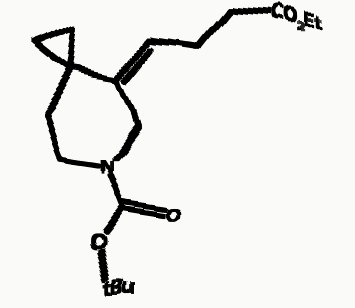 CCOC(=O)CC/C=C1\CN(C(=O)OC(C)(C)C)CCC12CC2